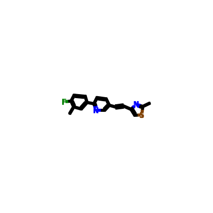 Cc1nc(C#Cc2ccc(-c3ccc(F)c(C)c3)nc2)cs1